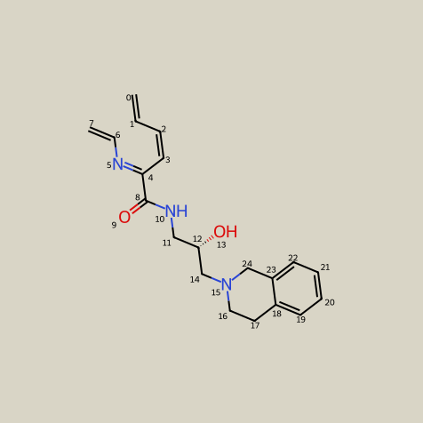 C=C/C=C\C(=N/C=C)C(=O)NC[C@H](O)CN1CCc2ccccc2C1